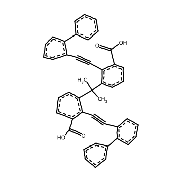 CC(C)(c1cccc(C(=O)O)c1C#Cc1ccccc1-c1ccccc1)c1cccc(C(=O)O)c1C#Cc1ccccc1-c1ccccc1